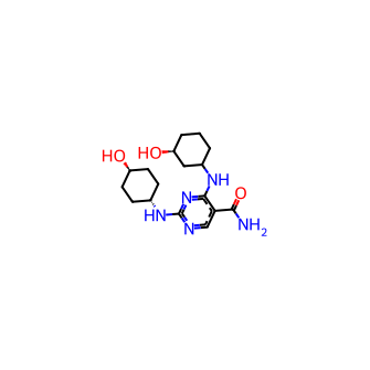 NC(=O)c1cnc(N[C@H]2CC[C@H](O)CC2)nc1NC1CCC[C@H](O)C1